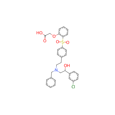 O=C(O)COc1ccccc1S(=O)(=O)c1ccc(CCN(Cc2ccccc2)CC(O)c2cccc(Cl)c2)cc1